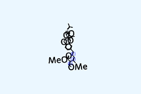 CO\C=C(C(=O)OC)/C(C)=C\C=C\c1ccc2c(c1)O[C@@]1(CO2)O[C@H](C=C(C)C)OC1(C)C